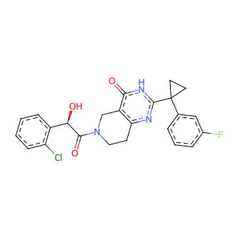 O=C([C@H](O)c1ccccc1Cl)N1CCc2nc(C3(c4cccc(F)c4)CC3)[nH]c(=O)c2C1